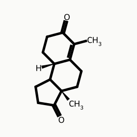 CC1=C2CC[C@]3(C)C(=O)CCC3[C@@H]2CCC1=O